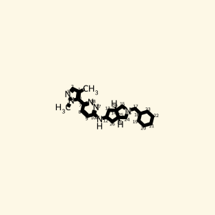 Cc1cnn(C)c1-c1ccc(NC2C[C@@H]3CN(CC4CCCCC4)C[C@@H]3C2)nn1